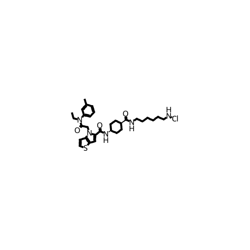 CCN(C(=O)Cn1c(C(=O)N[C@H]2CC[C@H](C(=O)NCCCCCCNCl)CC2)cc2sccc21)c1cccc(C)c1